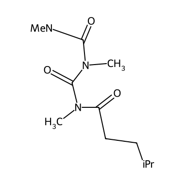 CNC(=O)N(C)C(=O)N(C)C(=O)CCC(C)C